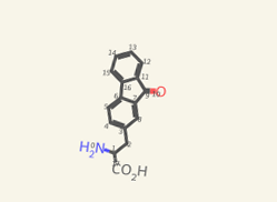 NC(Cc1ccc2c(c1)C(=O)c1ccccc1-2)C(=O)O